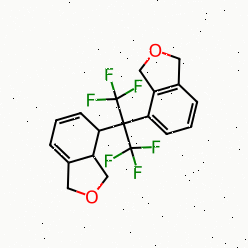 FC(F)(F)C(c1cccc2c1COC2)(C1C=CC=C2COCC21)C(F)(F)F